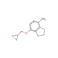 Cc1ccc(OCC2CO2)c2c1CCC2